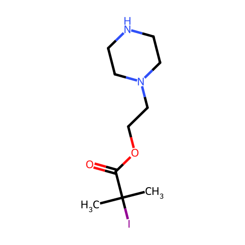 CC(C)(I)C(=O)OCCN1CCNCC1